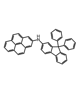 c1ccc(C2(c3ccccc3)c3ccccc3-c3ccc(Nc4cc5ccc6cccc7ccc(c4)c5c67)cc32)cc1